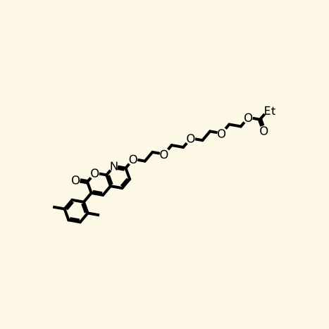 CCC(=O)OCCOCCOCCOCCOc1ccc2cc(-c3cc(C)ccc3C)c(=O)oc2n1